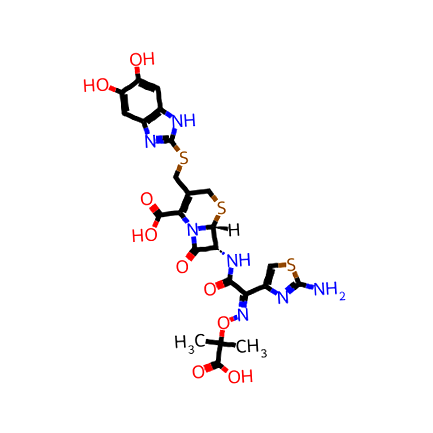 CC(C)(O/N=C(\C(=O)N[C@@H]1C(=O)N2C(C(=O)O)=C(CSc3nc4cc(O)c(O)cc4[nH]3)CS[C@H]12)c1csc(N)n1)C(=O)O